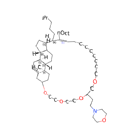 CCCCCCCC/C1=C\CCCCCCCCOCC(CCN2CCOCC2)OCCOCCOC2CC[C@@]3(C)C(=CC[C@H]4[C@@H]5CC[C@@H](C5CC[C@@H]43)[C@H]1CCCC(C)C)C2